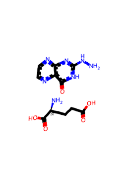 NNc1nc2nccnc2c(=O)[nH]1.N[C@@H](CCC(=O)O)C(=O)O